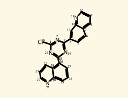 Clc1nc(-c2ccc3cccnc3c2)nc(-c2cccc3ncccc23)n1